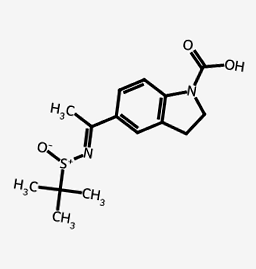 CC(=N[S+]([O-])C(C)(C)C)c1ccc2c(c1)CCN2C(=O)O